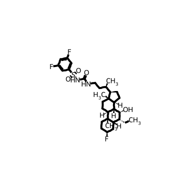 CC[C@H]1[C@@H](O)[C@@H]2[C@H](CC[C@]3(C)[C@@H]([C@H](C)CCNC(=O)NS(=O)(=O)c4cc(F)cc(F)c4)CC[C@@H]23)[C@@]2(C)CC[C@H](F)C[C@@H]12